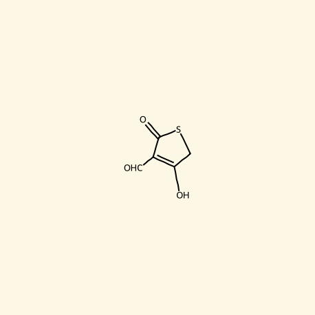 O=CC1=C(O)CSC1=O